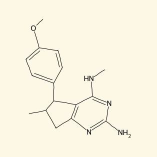 CNc1nc(N)nc2c1C(c1ccc(OC)cc1)C(C)C2